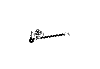 CCCCCCCCCCCCCCCCCCOC[C@H](CO[Si](C)(C)C(C)(C)C)OCc1ccccc1C#N